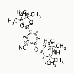 CC1(C)CC(Oc2ccc(B3OC(C)(C)C(C)(C)O3)cc2C#N)CC(C)(C)N1